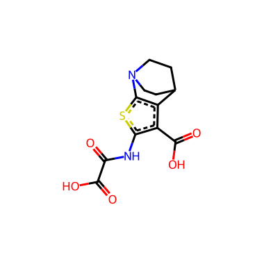 O=C(O)C(=O)Nc1sc2c(c1C(=O)O)C1CCN2CC1